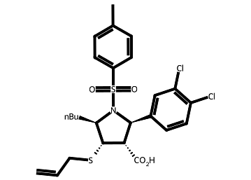 C=CCS[C@H]1[C@@H](C(=O)O)[C@H](c2ccc(Cl)c(Cl)c2)N(S(=O)(=O)c2ccc(C)cc2)[C@@H]1CCCC